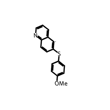 COc1ccc(Sc2[c]c3cccnc3cc2)cc1